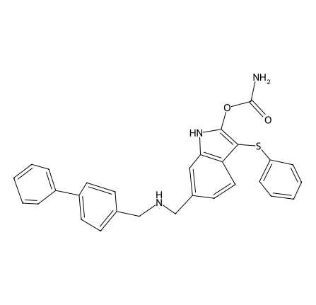 NC(=O)Oc1[nH]c2cc(CNCc3ccc(-c4ccccc4)cc3)ccc2c1Sc1ccccc1